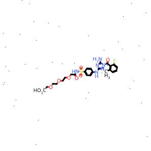 Cc1cccc(F)c1C(=O)n1nc(Nc2ccc(S(=O)(=O)NC(=O)COCCOCCOCC(=O)O)cc2)nc1N